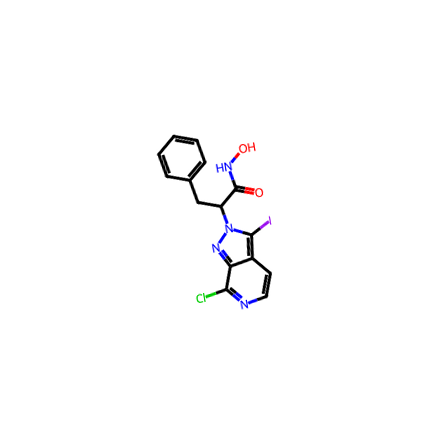 O=C(NO)C(Cc1ccccc1)n1nc2c(Cl)nccc2c1I